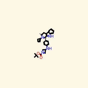 C[C@@H]1Cc2c([nH]c3ccccc23)[C@@H](c2ccc(NC3CN(C(=O)OC(C)(C)C)C3)cc2)N1C12CC(C1)C2